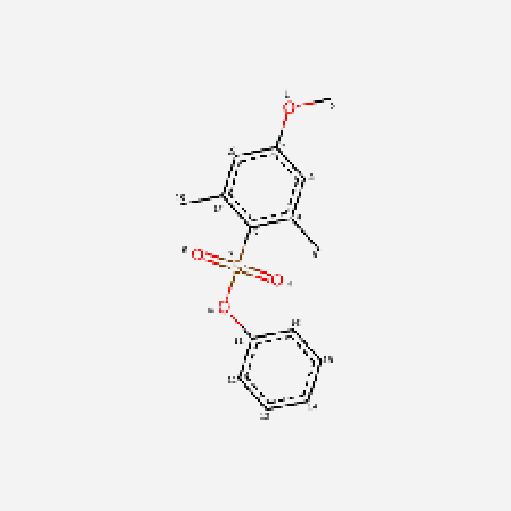 COc1cc(C)c(S(=O)(=O)Oc2ccccc2)c(C)c1